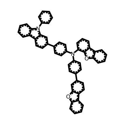 c1ccc(-n2c3ccccc3c3ccc(-c4ccc(N(c5ccc(-c6ccc7c(c6)oc6ccccc67)cc5)c5cccc6c5oc5ccccc56)cc4)cc32)cc1